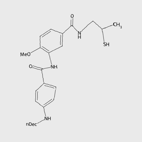 CCCCCCCCCCNc1ccc(C(=O)Nc2cc(C(=O)NCC(C)S)ccc2OC)cc1